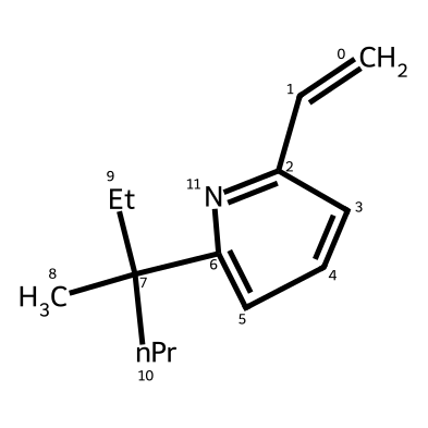 C=Cc1cccc(C(C)(CC)CCC)n1